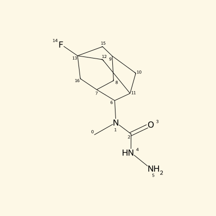 CN(C(=O)NN)C1C2CC3CC1CC(F)(C3)C2